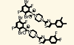 Cc1ccc(-c2csc(N3CCN(S(=O)(=O)c4c(F)c(Br)cc(F)c4Br)CC3)n2)cc1C.O=S(=O)(c1c(F)c(Br)cc(F)c1Br)N1CCN(c2nc(-c3ccc(F)c(F)c3)cs2)CC1